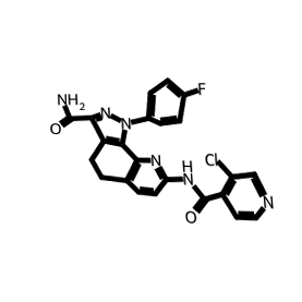 NC(=O)c1nn(-c2ccc(F)cc2)c2c1CCc1ccc(NC(=O)c3ccncc3Cl)nc1-2